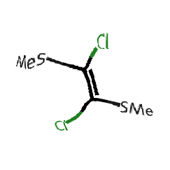 CSC(Cl)=C(Cl)SC